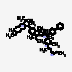 C=CCCCCC(/C(=C\CCC)C(=C)C)C(C)C1=CC2C(C)(C=C1)C(CC)[C@H](/C=C(\C)N(c1ccc(C3C=CC=CC3)cc1)[C@@H](C)C/C=C(CC)/C(C)=C/C=C\CC)C2(C)C